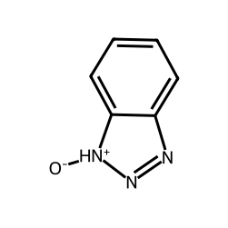 [O-][NH+]1N=Nc2ccccc21